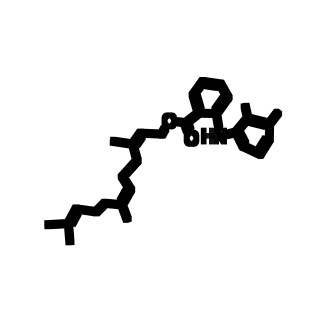 CC(C)=CCCC(C)=CCCC(C)=CCOC(=O)c1ccccc1Nc1cccc(C)c1C